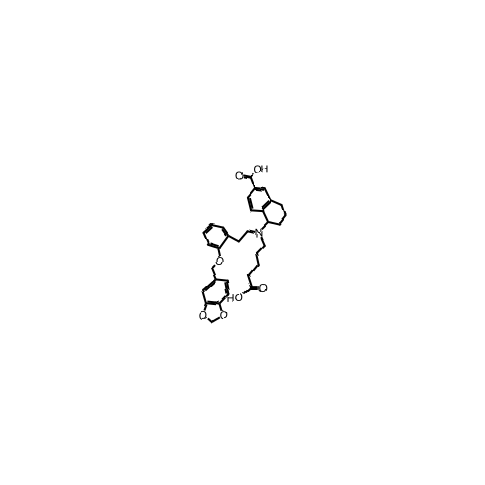 O=C(O)CCCCN(CCc1ccccc1OCc1ccc2c(c1)OCO2)C1CCCc2cc(C(=O)O)ccc21